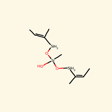 CC=C(C)[SiH2]O[Si](C)(O)O[SiH2]C(C)=CC